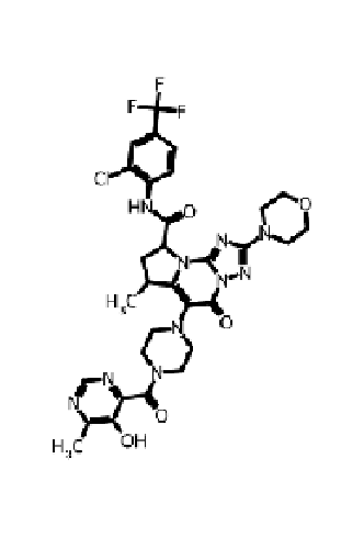 Cc1ncnc(C(=O)N2CCN(c3c4n(c5nc(N6CCOCC6)nn5c3=O)C(C(=O)Nc3ccc(C(F)(F)F)cc3Cl)CC4C)CC2)c1O